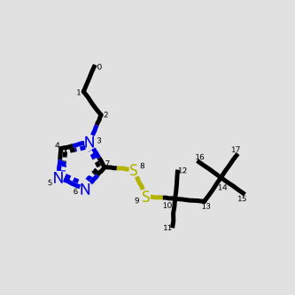 CCCn1cnnc1SSC(C)(C)CC(C)(C)C